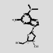 CN(C)c1nc(N)nc2c1ncn2[C@H]1C[C@H](O)[C@@H](CO)O1